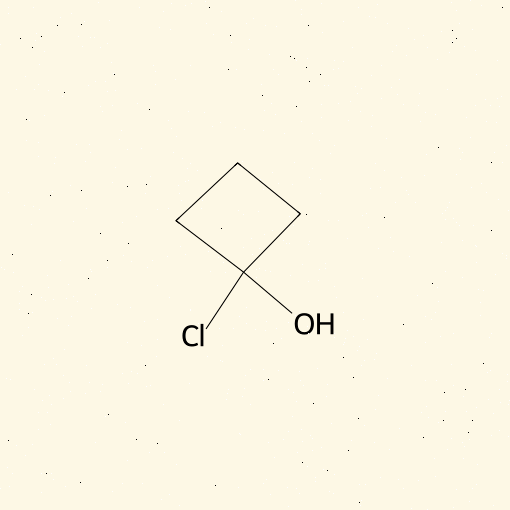 OC1(Cl)CCC1